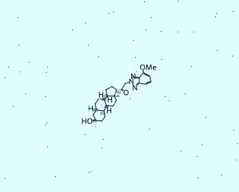 COc1cccc2nn(CC(=O)[C@H]3CC[C@H]4[C@@H]5CC[C@@H]6C[C@](C)(O)CC[C@]6(C)[C@H]5CCC34C)nc12